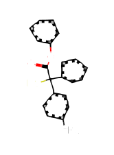 CC(C)(C)c1ccc(C(S)(C(=O)Oc2ccccc2)c2ccccc2)cc1